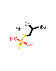 CCCCC(CC)CSP(O)(O)=S.[Rh]